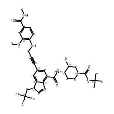 CNC(=O)c1ccc(NCC#Cc2cc(C(=O)N[C@H]3CCN(C(=O)OC(C)(C)C)C[C@@H]3F)c3ncn(CC(F)(F)F)c3c2)c(OC)c1